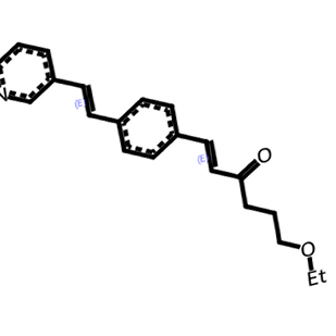 CCOCCCC(=O)/C=C/c1ccc(/C=C/c2cccnc2)cc1